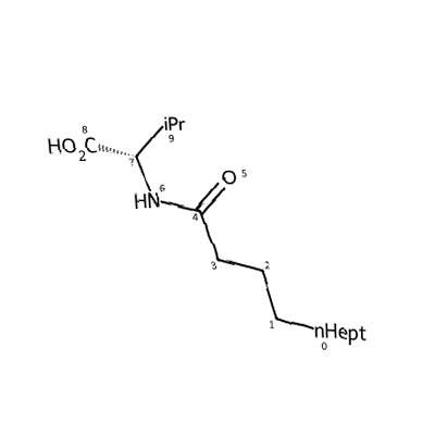 CCCCCCCCCCC(=O)N[C@H](C(=O)O)C(C)C